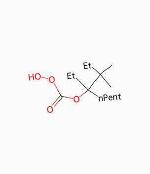 CCCCCC(CC)(OC(=O)OO)C(C)(C)CC